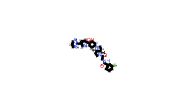 O=C(NCC(=O)N1CC[C@H]2[C@@H]1CCN2C1CCC(O)(c2ccc(-c3ncccn3)cn2)CC1)c1cccc(F)c1